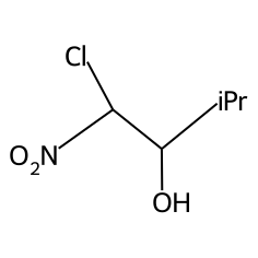 CC(C)C(O)C(Cl)[N+](=O)[O-]